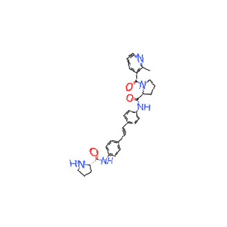 Cc1ncccc1C(=O)N1CCC[C@H]1C(=O)Nc1ccc(/C=C/c2ccc(NC(=O)[C@@H]3CCCN3)cc2)cc1